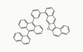 c1cc(-c2cccc3cc4c(cc23)oc2ccc3ccccc3c24)cc(-c2c3ccccc3c(-c3cccc4ccccc34)c3ccccc23)c1